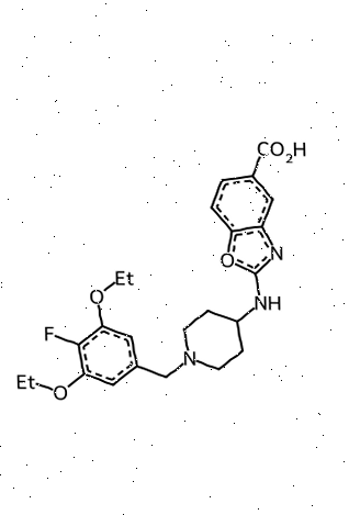 CCOc1cc(CN2CCC(Nc3nc4cc(C(=O)O)ccc4o3)CC2)cc(OCC)c1F